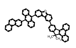 CC1(C)c2ccc(-c3ccc4oc5ccc(-c6c7ccccc7c(-c7ccc8c(ccc9ccccc98)c7)c7ccccc67)cc5c4c3)cc2-c2c1c1ccccc1c1ccccc21